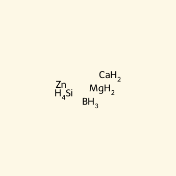 B.[CaH2].[MgH2].[SiH4].[Zn]